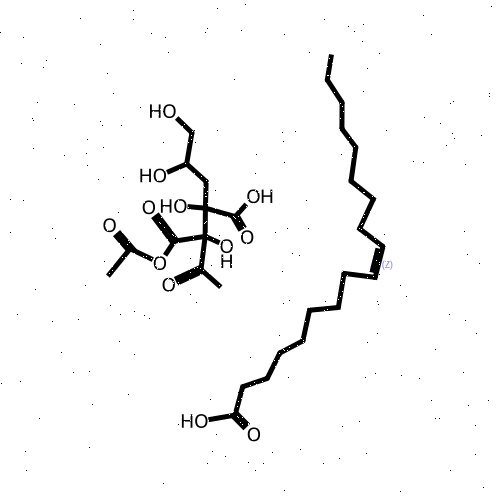 CC(=O)OC(=O)C(O)(C(C)=O)C(O)(CC(O)CO)C(=O)O.CCCCCCCC/C=C\CCCCCCCC(=O)O